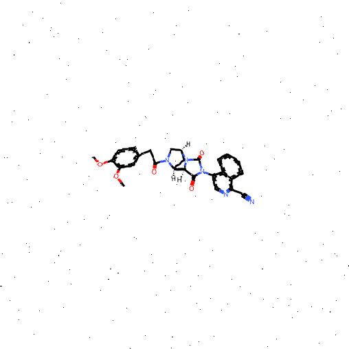 COc1ccc(CC(=O)N2C[C@@H]3C[C@H]2[C@@H]2C(=O)N(c4cnc(C#N)c5ccccc45)C(=O)N32)cc1OC